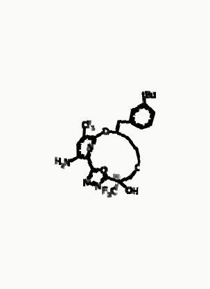 CC(C)(C)c1cccc(CC2CCCCC[C@](O)(C(F)(F)F)c3nnc(o3)-c3nc(c(C(F)(F)F)cc3N)O2)c1